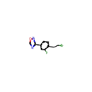 Fc1cc(-c2ncon2)ccc1CCBr